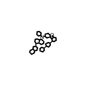 c1ccc(-c2ccc(-c3cccc4oc5ccc(N(c6ccccc6)c6cccc7c(-c8ccc9ccccc9c8)cccc67)cc5c34)cc2)cc1